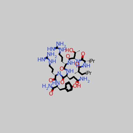 CC(C)C[C@H](C)C(=O)N[C@H](C(=O)N[C@H](C(=O)N[C@@H](CCCNC(=N)N)C(=O)N[C@@H](CCC(N)=O)C(=O)N(C)[C@@H](CCCNC(=N)N)C(=O)N[C@@H](Cc1ccc(O)cc1)C(N)=O)[C@@H](C)O)C(C)C